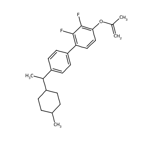 C=C(C)Oc1ccc(-c2ccc(C(C)C3CCC(C)CC3)cc2)c(F)c1F